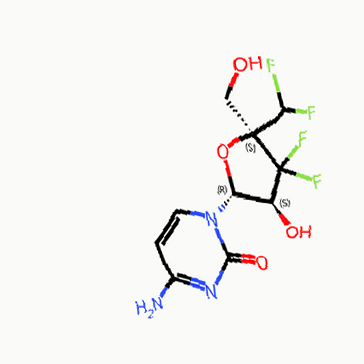 Nc1ccn([C@@H]2O[C@@](CO)(C(F)F)C(F)(F)[C@H]2O)c(=O)n1